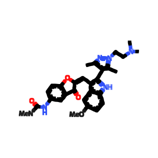 CNC(=O)Nc1ccc2c(c1)C(=O)C(=Cc1c(-c3c(C)nn(CCN(C)C)c3C)[nH]c3ccc(OC)cc13)O2